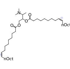 CCCCCCCC/C=C\CCCCCCCC(=O)OCC(OC(=O)CCCCCCC/C=C\CCCCCCCC)C(C)N(C)C